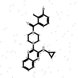 Cc1c(Br)cccc1C(=O)N1CCN(c2nc3ccccc3nc2NC2CC2)CC1